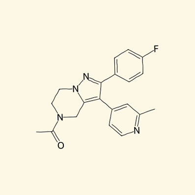 CC(=O)N1CCn2nc(-c3ccc(F)cc3)c(-c3ccnc(C)c3)c2C1